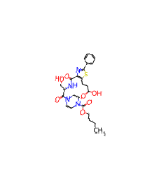 CCCCOC(=O)N1CCN(C(=O)C(CO)NC(=O)c2nc(-c3ccccc3)sc2CCC(=O)O)CC1